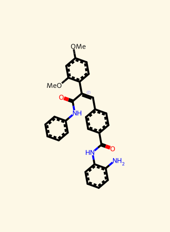 COc1ccc(/C(=C/c2ccc(C(=O)Nc3ccccc3N)cc2)C(=O)Nc2ccccc2)c(OC)c1